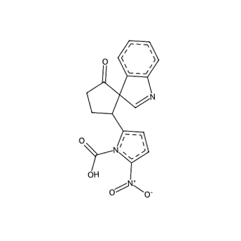 O=C(O)n1c(C2CCC(=O)C23C=Nc2ccccc23)ccc1[N+](=O)[O-]